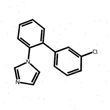 Clc1cccc(-c2ccccc2-n2ccnc2)c1